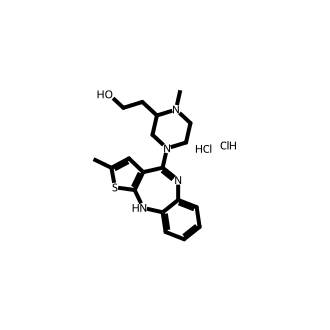 Cc1cc2c(s1)Nc1ccccc1N=C2N1CCN(C)C(CCO)C1.Cl.Cl